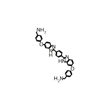 NCc1ccc(Oc2ccc3nc(-c4ccc(-c5nc6ccc(Oc7ccc(CN)cc7)cc6[nH]5)cc4)[nH]c3c2)cc1